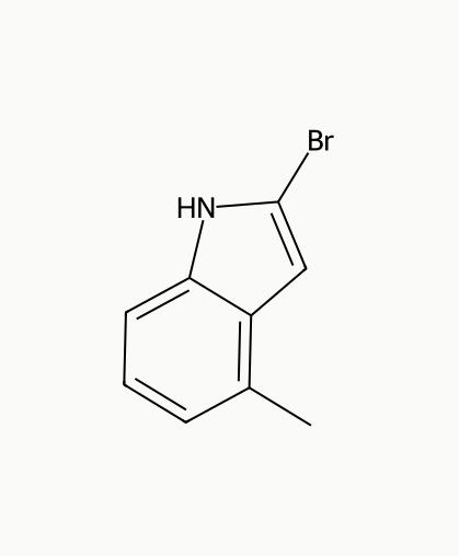 Cc1cccc2[nH]c(Br)cc12